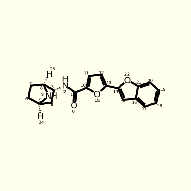 O=C(N[C@@H]1C[C@H]2CC[C@@H]1N2)c1ccc(-c2cc3ccccc3o2)o1